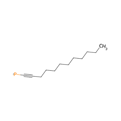 CCCCCCCCCCC#C[P]